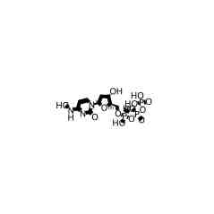 O=c1nc(NO)ccn1[C@H]1C[C@H](O)[C@@H](COP(=O)(O)OP(=O)(O)OP(=O)(O)O)O1